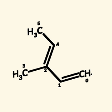 [CH]=CC(C)=CC